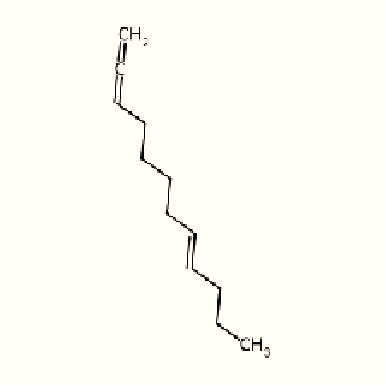 C=C=CCCCCC=CCCC